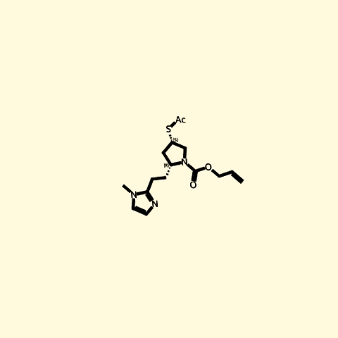 C=CCOC(=O)N1C[C@@H](SC(C)=O)C[C@H]1CCc1nccn1C